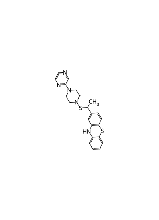 CC(SN1CCN(c2cnccn2)CC1)c1ccc2c(c1)Nc1ccccc1S2